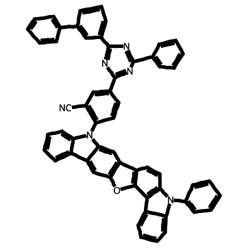 N#Cc1cc(-c2nc(-c3ccccc3)nc(-c3cccc(-c4ccccc4)c3)n2)ccc1-n1c2ccccc2c2cc3oc4c(ccc5c4c4ccccc4n5-c4ccccc4)c3cc21